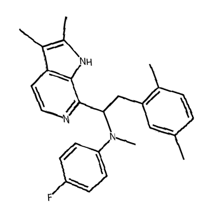 Cc1ccc(C)c(CC(c2nccc3c(C)c(C)[nH]c23)N(C)c2ccc(F)cc2)c1